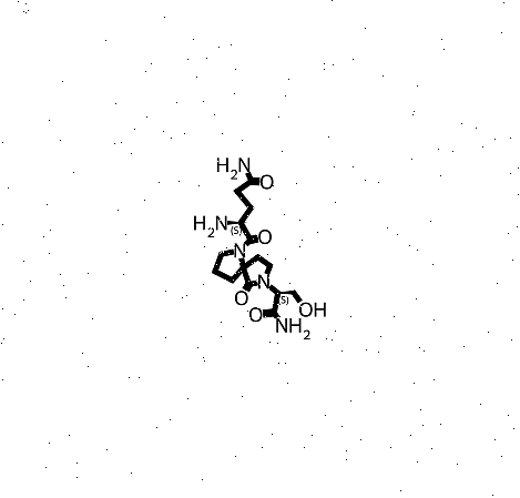 NC(=O)CC[C@H](N)C(=O)N1CCCC12CCN([C@@H](CO)C(N)=O)C2=O